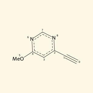 C#Cc1cc(OC)ncn1